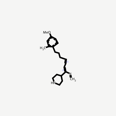 C=N/C(=C\C=C/CCCc1ccc(OC)cc1C)C1CCNCC1